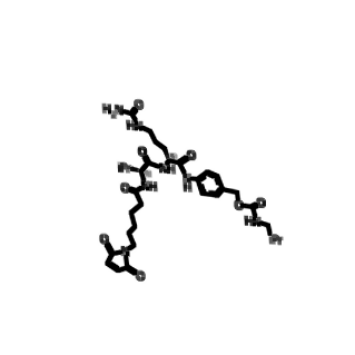 CC(C)CNC(=O)OCc1ccc(NC(=O)[C@H](CCCNC(N)=O)NC(=O)[C@@H](NC(=O)CCCCCN2C(=O)C=CC2=O)C(C)C)cc1